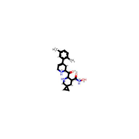 Cc1ccc(C)c(C2=CCNC(C(=O)C3NCC4(CC4)CC3C(=O)NO)C2)c1